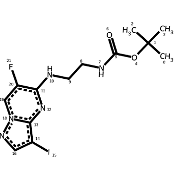 CC(C)(C)OC(=O)NCCNc1nc2c(I)cnn2cc1F